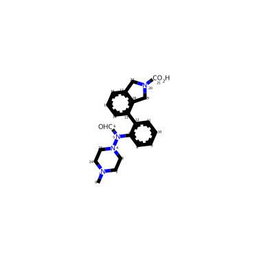 CN1CCN(N(C=O)c2ccccc2-c2cccc3c2CN(C(=O)O)C3)CC1